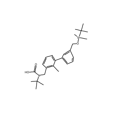 Cc1c(CN(C(=O)O)C(C)(C)C)cccc1-c1cccc(CO[Si](C)(C)C(C)(C)C)c1